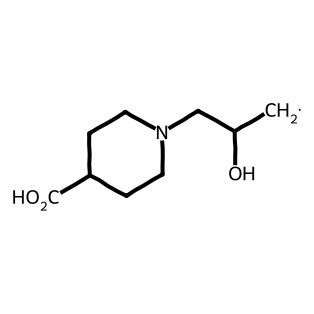 [CH2]C(O)CN1CCC(C(=O)O)CC1